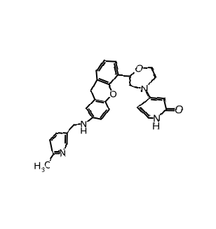 Cc1ccc(CNc2ccc3c(c2)Cc2cccc(C4CN(c5cc[nH]c(=O)c5)CCO4)c2O3)cn1